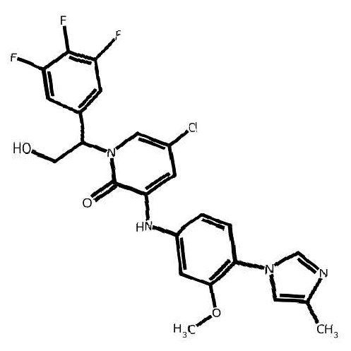 COc1cc(Nc2cc(Cl)cn(C(CO)c3cc(F)c(F)c(F)c3)c2=O)ccc1-n1cnc(C)c1